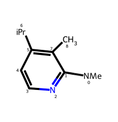 CNc1nccc(C(C)C)c1C